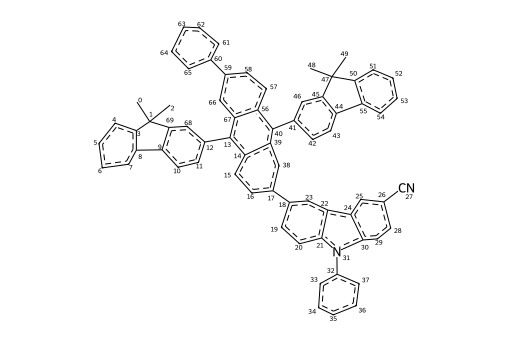 CC1(C)c2ccccc2-c2ccc(-c3c4ccc(-c5ccc6c(c5)c5cc(C#N)ccc5n6-c5ccccc5)cc4c(-c4ccc5c(c4)C(C)(C)c4ccccc4-5)c4ccc(-c5ccccc5)cc34)cc21